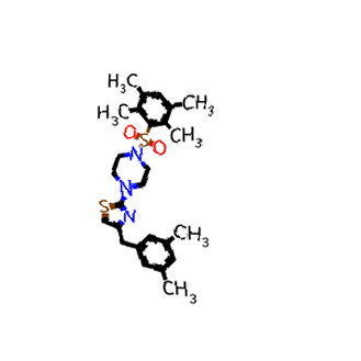 Cc1cc(C)cc(Cc2csc(N3CCN(S(=O)(=O)c4c(C)c(C)cc(C)c4C)CC3)n2)c1